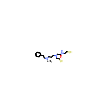 CN(CCCN(CCS)CC(=O)NCCS)CCc1ccccc1